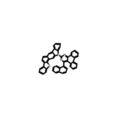 c1ccc2c(-c3nc(-n4c5ccccc5c5cc6ccc7c8ccccc8sc7c6cc54)nc4c5ccccc5c5ccccc5c34)cccc2c1